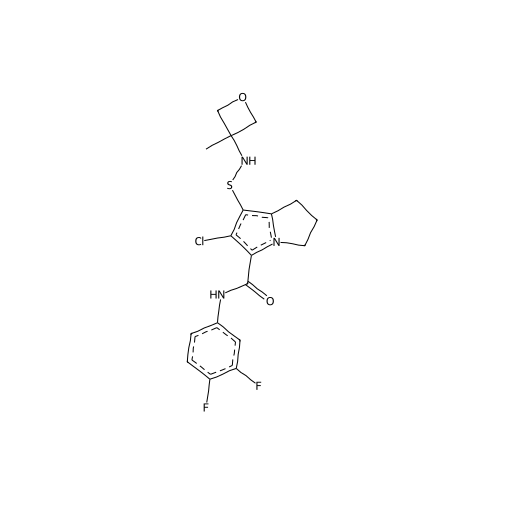 CC1(NSc2c(Cl)c(C(=O)Nc3ccc(F)c(F)c3)n3c2CCC3)COC1